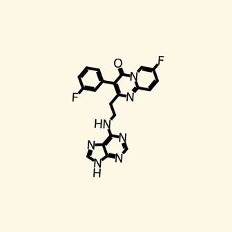 O=c1c(-c2cccc(F)c2)c(CCNc2ncnc3[nH]cnc23)nc2ccc(F)cn12